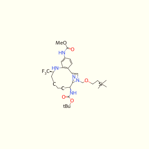 COC(=O)Nc1ccc2c(c1)N[C@H](C(F)(F)F)CCCC[C@H](NC(=O)OC(C)(C)C)c1nc-2cn1COCC[Si](C)(C)C